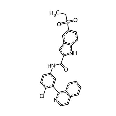 CCS(=O)(=O)c1ccc2[nH]c(C(=O)Nc3ccc(Cl)c(-c4nccc5ccccc45)c3)cc2c1